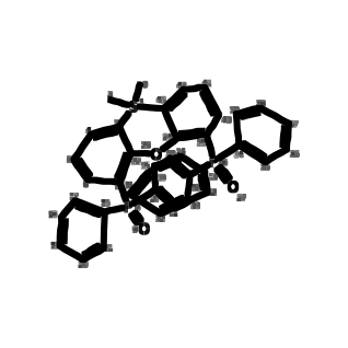 CS1(C)c2cccc(P(=O)(c3ccccc3)c3ccccc3)c2Oc2c(P(=O)(c3ccccc3)c3ccccc3)cccc21